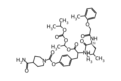 Cc1ccccc1OCC(=O)N[C@@H](CC(C)C)C(=O)NC(Cc1ccc(OC(=O)N2CCC(C(N)=O)CC2)cc1)C(=O)OC(C)OC(=O)OC(C)C